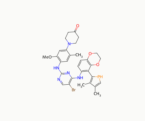 COc1cc(N2CCC(=O)CC2)c(C)cc1Nc1ncc(Br)c(Nc2ccc3c(c2-c2[pH]cc(C)c2C)OCCO3)n1